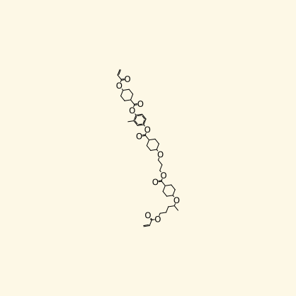 C=CC(=O)OCCCC(C)OC1CCC(C(=O)OCCCOC2CCC(C(=O)Oc3ccc(OC(=O)C4CCC(OC(=O)C=C)CC4)c(C)c3)CC2)CC1